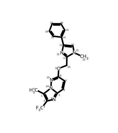 Cc1c(C(F)(F)F)nc2ccc(OCc3nc(-c4ccccc4)cn3C)nn12